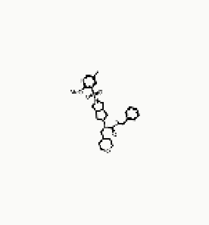 COc1ncc(C)cc1S(=O)(=O)N1CC2CC(N(CC3CCOCC3)C(=O)OCc3ccccc3)CC2C1